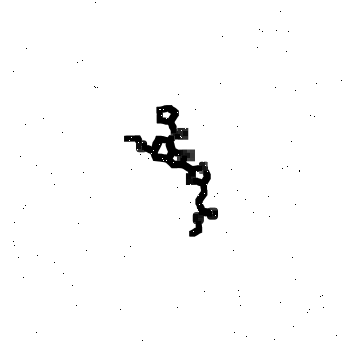 CCOC(=O)CCC1CSC(c2cc3cc(OCC)cc(NC4CCCC4)c3[nH]2)=N1